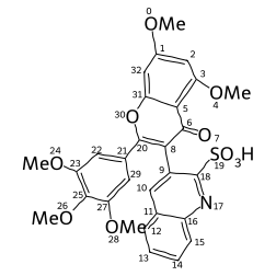 COc1cc(OC)c2c(=O)c(-c3cc4ccccc4nc3S(=O)(=O)O)c(-c3cc(OC)c(OC)c(OC)c3)oc2c1